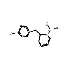 CC(C)(C)[S@+]([O-])N1CC=CCC1Cc1ccc(Cl)cc1